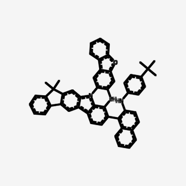 CC(C)(C)c1ccc(Nc2ccc3ccccc3c2-c2ccc3c4cc5c(cc4n4c3c2Bc2cc3oc6ccccc6c3cc2-4)C(C)(C)c2ccccc2-5)cc1